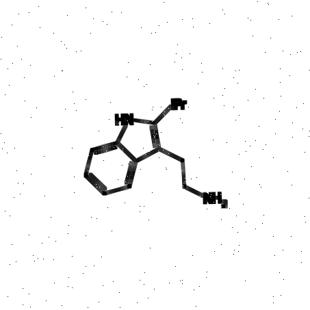 CC(C)c1[nH]c2ccccc2c1CCN